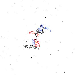 CC(NP(=O)(O)OC[C@@H]1C[C@@H](O)[C@](C#N)(c2ccc3c(N)ncnn23)O1)C(=O)O